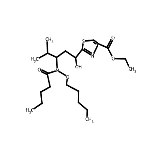 CCCCCON(C(=O)CCCC)C(CC(O)c1nc(C(=O)OCC)cs1)C(C)C